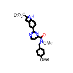 CCOC(=O)c1cc2cc(-c3nccc(C(=O)N(Cc4ccc(OC)cc4)OC)n3)ccc2[nH]1